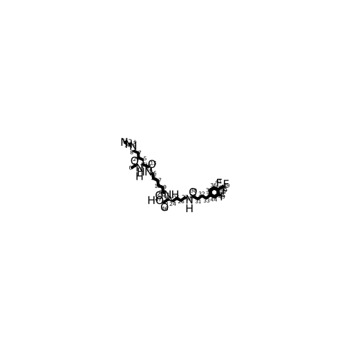 CC(=O)N[C@@H](CCCCN=[N+]=[N-])C(=O)NCCCCCC(=O)N[C@@H](CCCCNC(=O)CCCc1ccc(C(F)(F)F)c(F)c1)C(=O)O